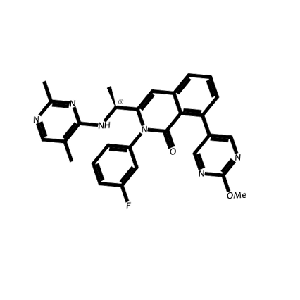 COc1ncc(-c2cccc3cc([C@H](C)Nc4nc(C)ncc4C)n(-c4cccc(F)c4)c(=O)c23)cn1